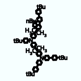 CCCC[C@]12CCc3c(C(C)(C)c4ccc(N(c5ccc(C(C)(C)C)cc5)c5ccc(C(C)(C)c6ccc(N(c7ccc(-c8ccc(C(C)(C)C)cc8)cc7)c7ccc(-c8ccc(C(C)(C)C)cc8)cc7)cc6)cc5)cc4)ccc(c31)-c1ccc(-c3ccc(C(C)(C)C)cc3)cc12